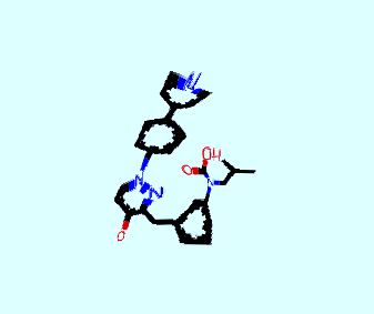 CC(C)CN(C(=O)O)c1cccc(Cc2nn(-c3ccc(-c4ccncc4)cc3)ccc2=O)c1